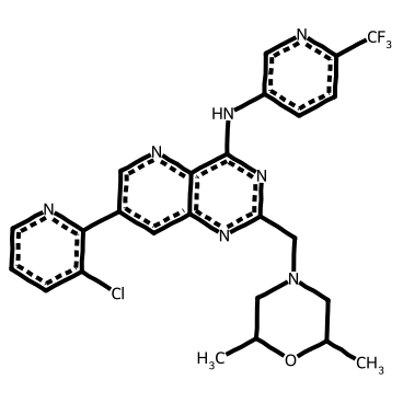 CC1CN(Cc2nc(Nc3ccc(C(F)(F)F)nc3)c3ncc(-c4ncccc4Cl)cc3n2)CC(C)O1